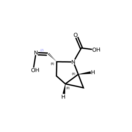 O=C(O)N1[C@@H]2C[C@@H]2C[C@@H]1/C=N\O